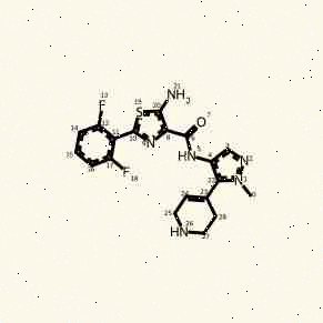 Cn1ncc(NC(=O)c2nc(-c3c(F)cccc3F)sc2N)c1C1=CCNCC1